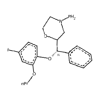 CCCOc1cc(I)ccc1O[C@@H](c1ccccc1)C1CN(P)CCO1